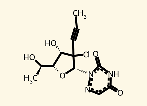 CC#CC1(Cl)[C@@H](O)[C@@H]([C@@H](C)O)O[C@H]1n1ncc(=O)[nH]c1=O